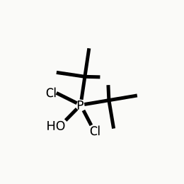 CC(C)(C)P(O)(Cl)(Cl)C(C)(C)C